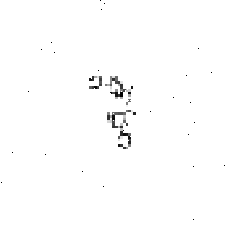 CC(CCC(C)c1cncc(-c2ccccc2)n1)c1cnc(-c2ccccc2)cn1